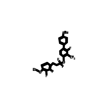 CCCCc1ccc(-c2ccc(OC(F)(F)CCc3ccc(OCC)c(F)c3F)c(C(F)(F)F)c2F)cc1